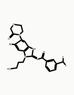 O=C(/N=c1\[nH]c2cc(N3CCOCC3=O)c(Br)cc2n1CCCO)c1cccc(C(F)F)c1